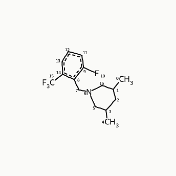 CC1CC(C)CN(Cc2c(F)cccc2C(F)(F)F)C1